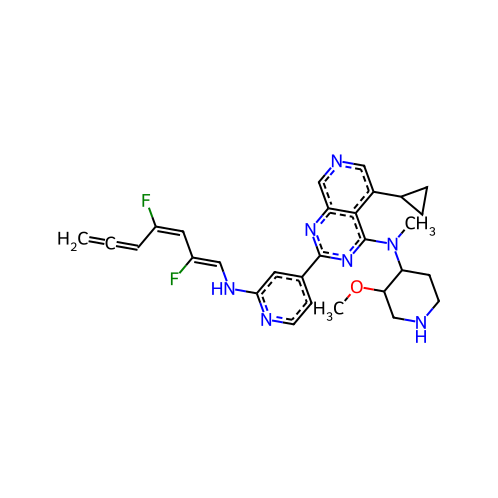 C=C=C/C(F)=C\C(F)=C\Nc1cc(-c2nc(N(C)C3CCNCC3OC)c3c(C4CC4)cncc3n2)ccn1